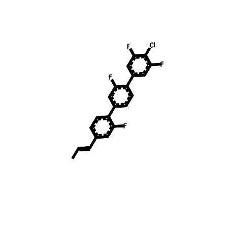 CC=Cc1ccc(-c2ccc(-c3cc(F)c(Cl)c(F)c3)c(F)c2)c(F)c1